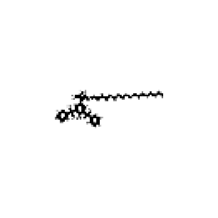 CCCCCCCCCCCCCCCCCCSc1ssc(=S)c1-c1cc(C(C)(C)c2ccccc2)c(O)c(C(C)(C)c2ccccc2)c1